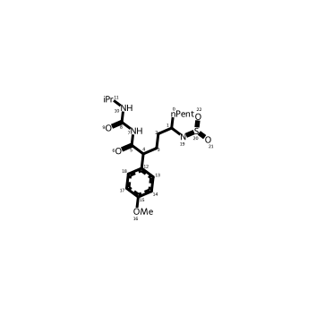 CCCCCC(CCC(C(=O)NC(=O)NC(C)C)c1ccc(OC)cc1)N=S(=O)=O